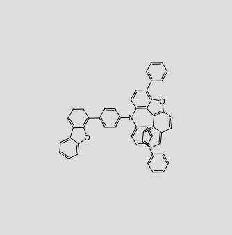 c1ccc(-c2ccc(N(c3ccc(-c4cccc5c4oc4ccccc45)cc3)c3ccc(-c4ccccc4)c4oc5ccc6ccccc6c5c34)cc2)cc1